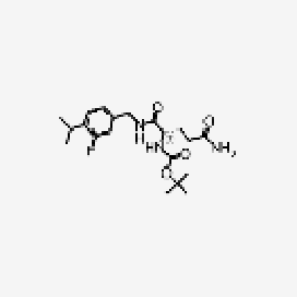 CC(C)c1ccc(CNC(=O)[C@H](CCC(N)=O)NC(=O)OC(C)(C)C)cc1F